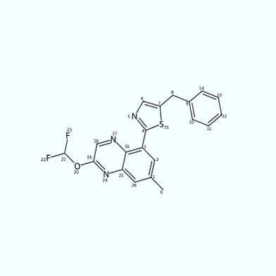 Cc1cc(-c2ncc(Cc3ccccc3)s2)c2ncc(OC(F)F)nc2c1